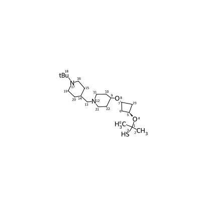 CC(C)(S)O[C@H]1C[C@H](OC2CCN(CC3CCN(C(C)(C)C)CC3)CC2)C1